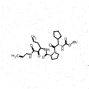 C=CCNC(=O)C(=O)C(CC=C)NC(=O)[C@@H]1CCCN1C(=O)[C@@H](NC(=O)OC(C)(C)C)C1CCCC1